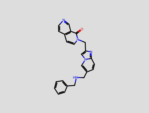 O=c1c2cnccc2ccn1Cc1cn2cc(CNCc3ccccc3)ccc2n1